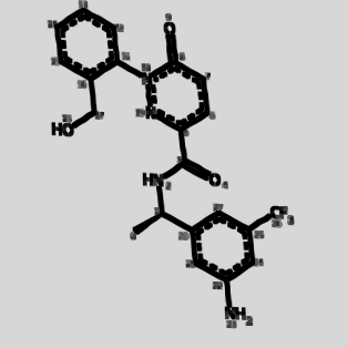 C[C@@H](NC(=O)c1ccc(=O)n(-c2ccccc2CO)n1)c1cc(N)cc(C(F)(F)F)c1